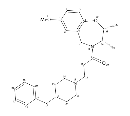 COc1ccc2c(c1)CN(C(=O)CCN1CCC(Cc3ccccc3)CC1)[C@@H](C)[C@@H](C)O2